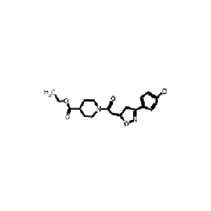 CCOC(=O)C1CCN(C(=O)CC2CC(c3ccc(Cl)cc3)=NO2)CC1